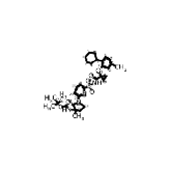 Cc1ccc(C2CCCCC2)c(OC2(C(=O)NS(=O)(=O)c3cccc(N4CCC(C)(NC(=O)OC(C)(C)C)C4)n3)CC2)c1